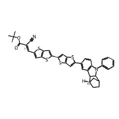 CC(C)(C)OC(=O)/C(C#N)=C/c1cc2sc(-c3cc4sc(-c5ccc6c(c5)C5C(C7CC[C@H]5C7)N6c5ccccc5)cc4s3)cc2s1